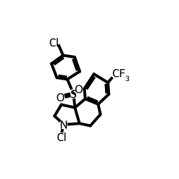 O=S(=O)(c1ccc(Cl)cc1)C12CCN(Cl)C1CCc1cc(C(F)(F)F)ccc12